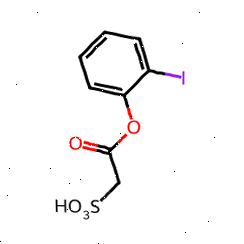 O=C(CS(=O)(=O)O)Oc1ccccc1I